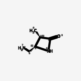 C[C@@H]1C(=O)N[C@@H]1CN